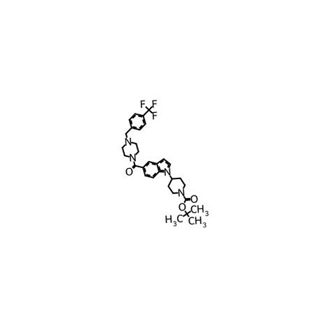 CC(C)(C)OC(=O)N1CCC(n2ccc3cc(C(=O)N4CCN(Cc5ccc(C(F)(F)F)cc5)CC4)ccc32)CC1